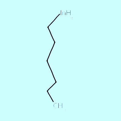 CCCCC[CH2][InH2]